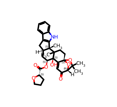 CC1(C)O[C@@]23CCC4(C)[C@@]5(C)c6[nH]c7ccccc7c6C[C@@H]5C[C@H](OC(=O)[C@@H]5CCCO5)[C@@]4(O)C2=CC(=O)[C@@H]1O3